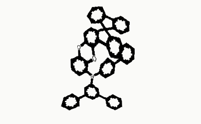 c1ccc(-c2ccc(N(c3cc(-c4ccccc4)cc(-c4ccccc4)c3)c3cccc4c3Oc3c(ccc5c3-c3ccccc3C53c5ccccc5-c5ccccc53)O4)cc2)cc1